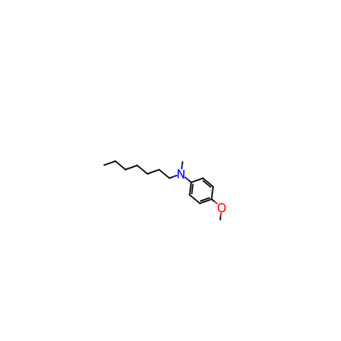 CCCCCCCN(C)c1ccc(OC)cc1